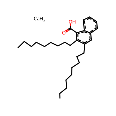 CCCCCCCCCc1cc2ccccc2c(C(=O)O)c1CCCCCCCCC.[CaH2]